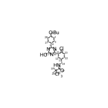 CC(C)COc1ccc(-c2nc(O)nc(-c3cc(CNC(=O)C(C)(C)C(F)(F)F)ccc3Cl)n2)cc1